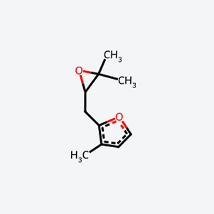 Cc1ccoc1CC1OC1(C)C